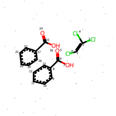 ClC=C(Cl)Cl.O=C(O)c1ccccc1.O=C(O)c1ccccc1